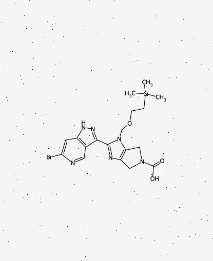 C[Si](C)(C)CCOCn1c(-c2n[nH]c3cc(Br)ncc23)nc2c1CN(C(=O)O)C2